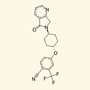 N#Cc1ccc(O[C@H]2CC[C@H](N3Cc4ncccc4C3=O)CC2)cc1C(F)(F)F